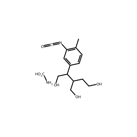 Cc1ccc(C(CO)C(CO)CCO)cc1N=C=O.NC(=O)O